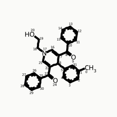 Cc1cccc(C2C(C(=O)c3ccccc3)=CN(CCO)C=C2C(=O)c2ccccc2)c1